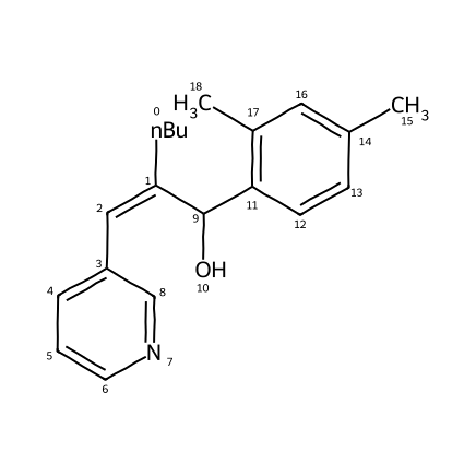 CCCCC(=Cc1cccnc1)C(O)c1ccc(C)cc1C